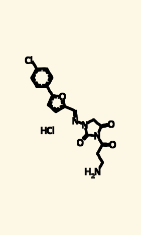 Cl.NCCC(=O)N1C(=O)CN(N=Cc2ccc(-c3ccc(Cl)cc3)o2)C1=O